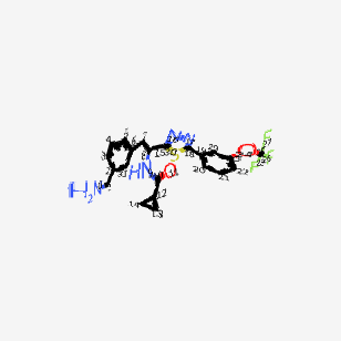 NCc1cccc(CC(NC(=O)C2CC2)c2nnc(-c3cccc(OC(F)(F)F)c3)s2)c1